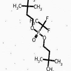 CC(C)(C)CCOP(=O)(OCCC(C)(C)C)C(C)(F)F